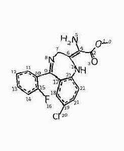 COC(=O)C(N)=C1CN=C(c2ccccc2F)c2cc(Cl)ccc2N1